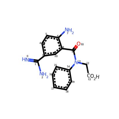 N=C(N)c1ccc(N)c(C(=O)N(CC(=O)O)c2ccccc2)c1